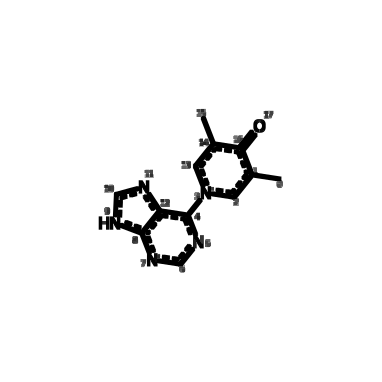 Cc1cn(-c2ncnc3[nH]cnc23)cc(C)c1=O